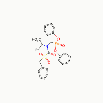 CCC(C(=O)O)N(CP(=O)(Oc1ccccc1)Oc1ccccc1)C(=O)S(=O)(=O)Cc1ccccc1